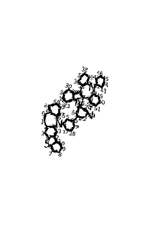 C1=Cc2cc3sc4ccccc4c3cc2N(c2cccc(-c3cncc(-n4c5c(c6ccccc64)-c4ccccc4N(c4ccccc4)c4ccccc4-5)c3)c2)c2ccccc21